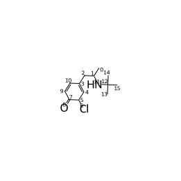 CC(CC1=CC(Cl)C(=O)C=C1)NC(C)(C)C